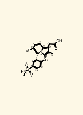 CNS(=O)(=O)c1ccc(Sc2c(C)c(CC(=O)O)c3ccc(F)cn23)cc1